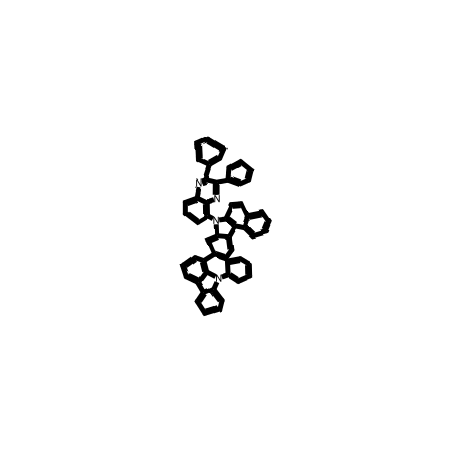 c1ccc(-c2nc3cccc(-n4c5cc(-c6cccc7c8ccccc8n(-c8ccccc8)c67)ccc5c5c6ccccc6ccc54)c3nc2-c2ccccc2)cc1